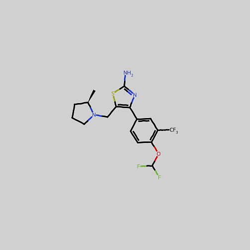 C[C@@H]1CCCN1Cc1sc(N)nc1-c1ccc(OC(F)F)c(C(F)(F)F)c1